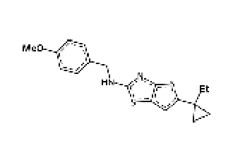 CCC1(c2cc3sc(NCc4ccc(OC)cc4)nc3s2)CC1